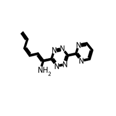 C=C/C=C\C=C(/N)c1nnc(-c2ncccn2)nn1